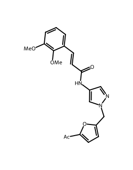 COc1cccc(C=CC(=O)Nc2cnn(Cc3ccc(C(C)=O)o3)c2)c1OC